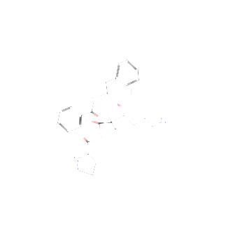 NCCCCC(I)(OP(=O)(O)C(Cc1ccccc1)OC(=O)c1ccccc1)C(=O)OC(=O)[C@@H]1CCCN1